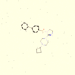 Cc1ccccc1-c1ccc(S(=O)(=O)N2CCN=C2N2CCN(C3CCC3)CC2)cc1